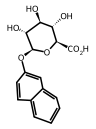 O=C(O)[C@H]1O[C@@H](Oc2ccc3ccccc3c2)[C@H](O)[C@@H](O)[C@@H]1O